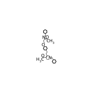 CC(=O)C1=C(CCc2ccc(OCCc3nc(-c4ccccc4)oc3C)cc2)CN(Cc2ccccc2)CC1